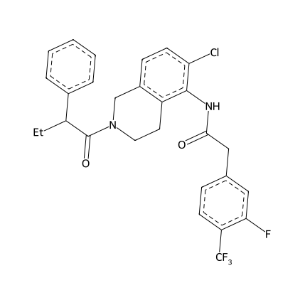 CCC(C(=O)N1CCc2c(ccc(Cl)c2NC(=O)Cc2ccc(C(F)(F)F)c(F)c2)C1)c1ccccc1